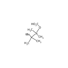 CC(C)(C)C(C)(C)[Si](C)(C)OC(=O)O